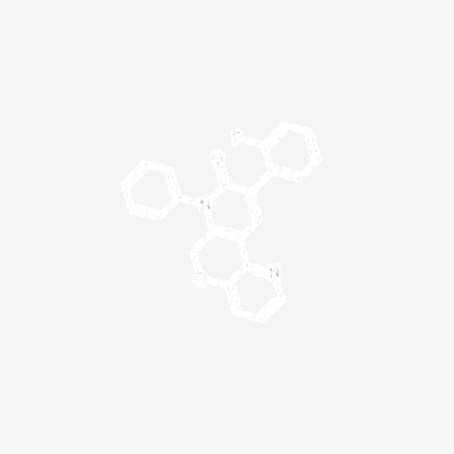 O=c1c(-c2ccccc2F)cc2c(n1-c1ccccc1)COc1cccnc1-2